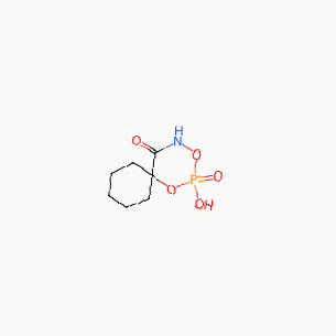 O=C1NOP(=O)(O)OC12CCCCC2